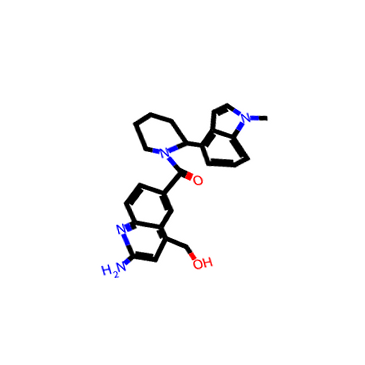 Cn1ccc2c(C3CCCCN3C(=O)c3ccc4nc(N)cc(CO)c4c3)cccc21